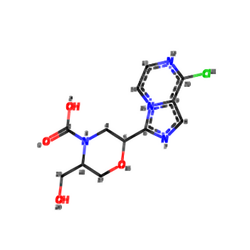 O=C(O)N1CC(c2ncc3c(Cl)nccn23)OCC1CO